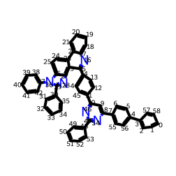 c1ccc(-c2ccc(-c3cc(-c4ccc(-c5nc6ccccc6c6ccc7c(nc(-c8ccccc8)n7-c7ccccc7)c56)cc4)nc(-c4ccccc4)n3)cc2)cc1